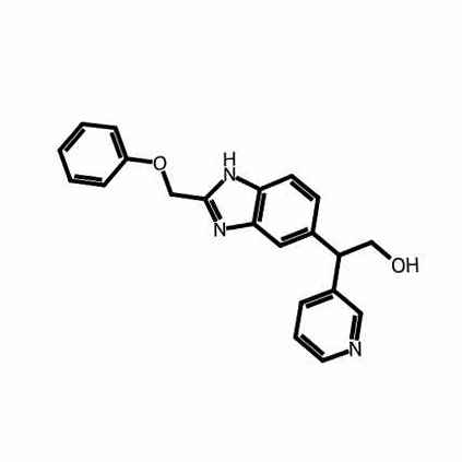 OCC(c1cccnc1)c1ccc2[nH]c(COc3ccccc3)nc2c1